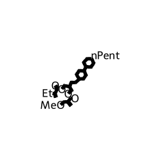 C=C(CC)C(=O)OCC(CCC1CCC(C2CCC(CCCCC)CC2)CC1)COC(=O)C(=C)COC